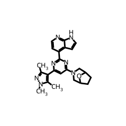 Cc1nn(C)c(C)c1-c1cc(N2CC3CCC(C2)O3)nc(-c2ccnc3[nH]ccc23)n1